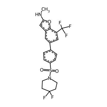 CNc1cc2cc(-c3ccc(S(=O)(=O)N4CCC(F)(F)CC4)cc3)cc(C(F)(F)F)c2o1